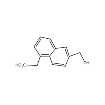 O=C(O)Cc1cccc2cc(CO)ccc12